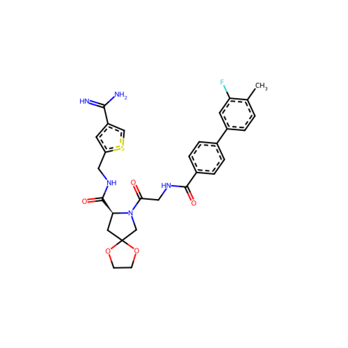 Cc1ccc(-c2ccc(C(=O)NCC(=O)N3CC4(C[C@H]3C(=O)NCc3cc(C(=N)N)cs3)OCCO4)cc2)cc1F